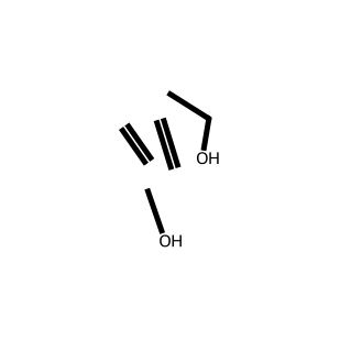 C=C.C=C.CCO.CO